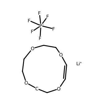 C1=C\OCCOCCOCCO/1.F[P-](F)(F)(F)(F)F.[Li+]